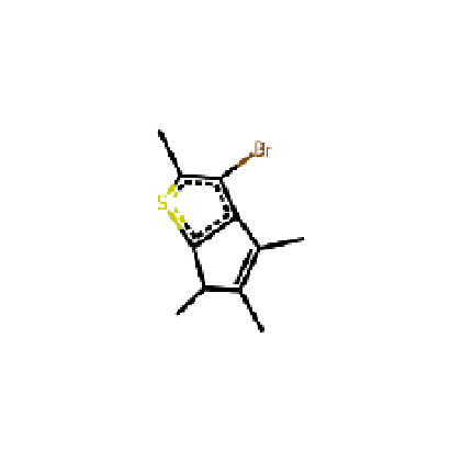 CC1=C(C)C(C)c2sc(C)c(Br)c21